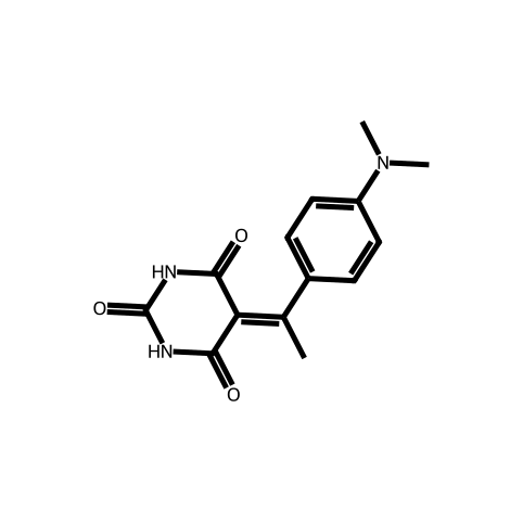 CC(=C1C(=O)NC(=O)NC1=O)c1ccc(N(C)C)cc1